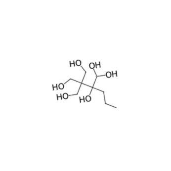 CCCC(O)(C(O)O)C(CO)(CO)CO